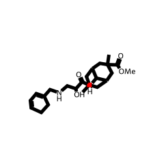 COC(=O)C1(C)CC2CC(C)CC(C1)C2NC(=O)C(O)CNCC1=CC=CCC1